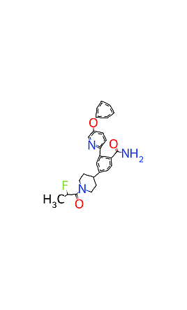 CC(F)C(=O)N1CCC(c2ccc(C(N)=O)c(-c3ccc(Oc4ccccc4)cn3)c2)CC1